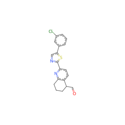 O=CC1CCCc2nc(-c3ncc(-c4cccc(Cl)c4)s3)ccc21